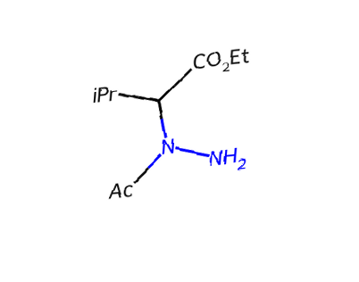 CCOC(=O)C(C(C)C)N(N)C(C)=O